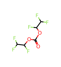 O=C(OC(F)C(F)F)OC(F)C(F)F